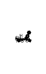 COc1cc(NC(=O)CCN2CC3(CCC(c4ccccc4)CC3)N(CC3CCC3)C2=O)ccn1